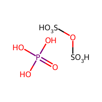 O=P(O)(O)O.O=S(=O)(O)OS(=O)(=O)O